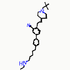 CCNCCCCCc1ccc(-c2ccc(CCC3CCN(CC(C)(C)C)CC3)c(C#N)c2)cc1